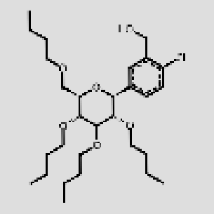 CCCCOC[C@H]1O[C@@H](c2ccc(Cl)c(CO)c2)[C@H](OCCCC)[C@@H](OCCCC)[C@@H]1OCCCC